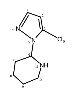 Clc1ccnn1C1CCCCN1